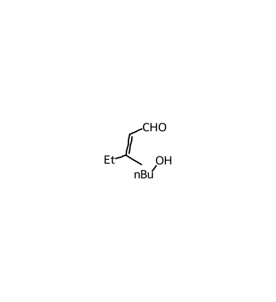 CCC(C)=CC=O.CCCCO